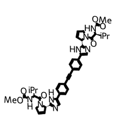 COC(=O)N[C@H](C(=O)N1CC=C[C@H]1c1ncc(-c2ccc(C#Cc3ccc(-c4cnc([C@@H]5C=CCN5C(=O)[C@@H](NC(=O)OC)C(C)C)[nH]4)cc3)cc2)[nH]1)C(C)C